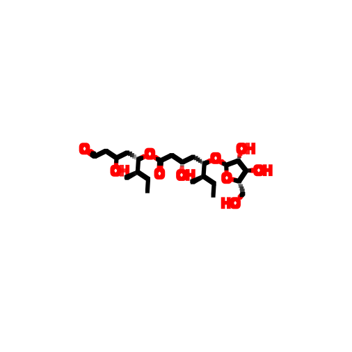 CC[C@@H](C)[C@H](CC(O)CC=O)OC(=O)C[C@@H](O)C[C@H](O[C@@H]1O[C@@H](CO)[C@H](O)[C@H]1O)[C@H](C)CC